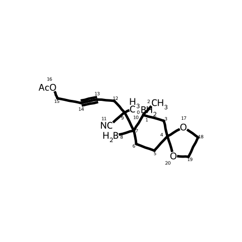 BC1(C)CC2(CCC1(B)C(C)(C#N)CC#CCOC(C)=O)OCCO2